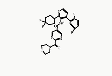 O=C(Nc1c(-c2cc(F)ccc2F)ccnc1C1CCC(F)(F)CC1)c1cnc(C(=O)N2CCOCC2)nc1